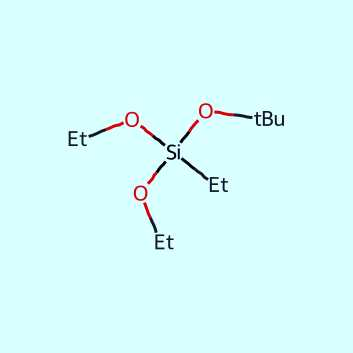 CCO[Si](CC)(OCC)OC(C)(C)C